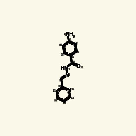 Nc1ccc(C(=O)NN=Cc2ccccn2)cc1